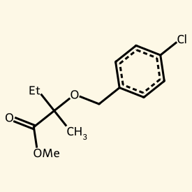 CCC(C)(OCc1ccc(Cl)cc1)C(=O)OC